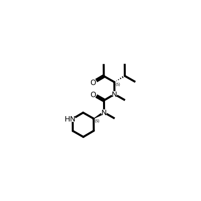 CC(=O)[C@H](C(C)C)N(C)C(=O)N(C)[C@H]1CCCNC1